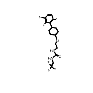 O=C(NCCOC1CCC(c2c(F)ccc(F)c2F)CC1)NCC(F)(F)F